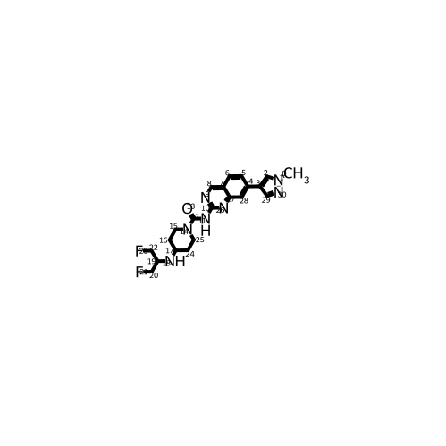 Cn1cc(-c2ccc3cnc(NC(=O)N4CCC(NC(CF)CF)CC4)nc3c2)cn1